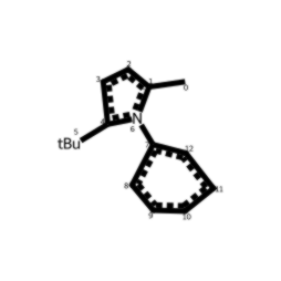 Cc1ccc(C(C)(C)C)n1-c1ccccc1